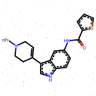 CCCN1CC=C(c2c[nH]c3ccc(NC(=O)c4cccs4)cc23)CC1